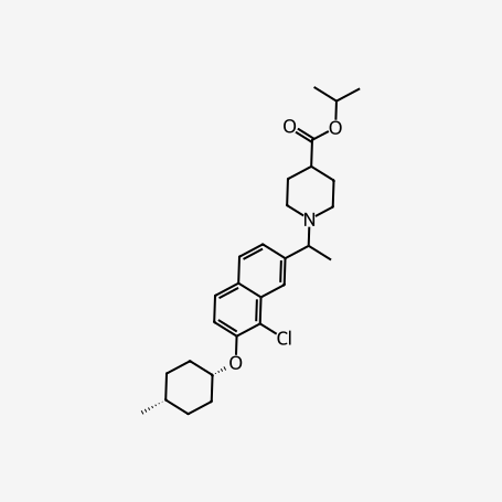 CC(C)OC(=O)C1CCN(C(C)c2ccc3ccc(O[C@H]4CC[C@@H](C)CC4)c(Cl)c3c2)CC1